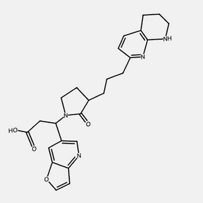 O=C(O)CC(c1cnc2ccoc2c1)N1CCC(CCCc2ccc3c(n2)NCCC3)C1=O